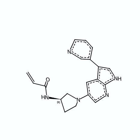 C=CC(=O)N[C@@H]1CCN(c2cnc3[nH]cc(-c4cccnc4)c3c2)C1